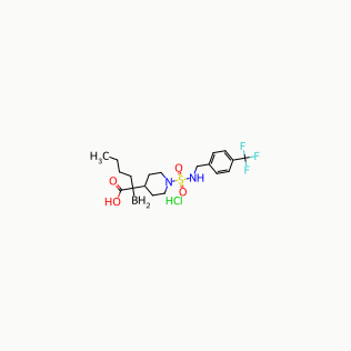 BC(CCCC)(C(=O)O)C1CCN(S(=O)(=O)NCc2ccc(C(F)(F)F)cc2)CC1.Cl